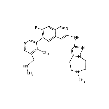 CNCc1cncc(-c2cc3cc(Nc4cc5n(n4)CCN(C)CC5)ncc3cc2F)c1C